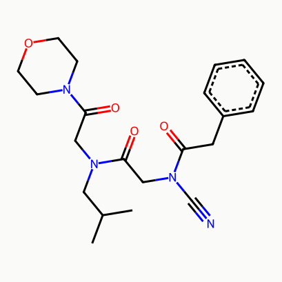 CC(C)CN(CC(=O)N1CCOCC1)C(=O)CN(C#N)C(=O)Cc1ccccc1